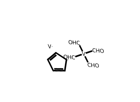 O=[CH][V]([CH]=O)([CH]=O)[CH]=O.[CH]1C=CC=C1.[V]